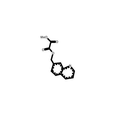 COC(=O)C(=O)OCc1ccc2cccnc2c1